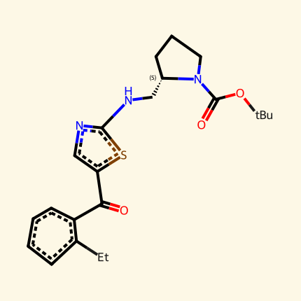 CCc1ccccc1C(=O)c1cnc(NC[C@@H]2CCCN2C(=O)OC(C)(C)C)s1